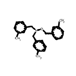 Cc1cccc(CON(Cc2cccc(C)c2)Cc2cccc(C)c2)c1